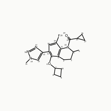 CC1CCc2c(OC3CCC3)c(-c3cn(C)nn3)cc(F)c2N1C(=O)C1CC1